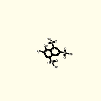 Nc1cc(S(=O)(=O)O)c2cc(S(=O)(=O)O)cc(S(=O)(=O)O)c2c1O